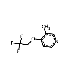 Cc1cnccc1OCC(F)(F)F